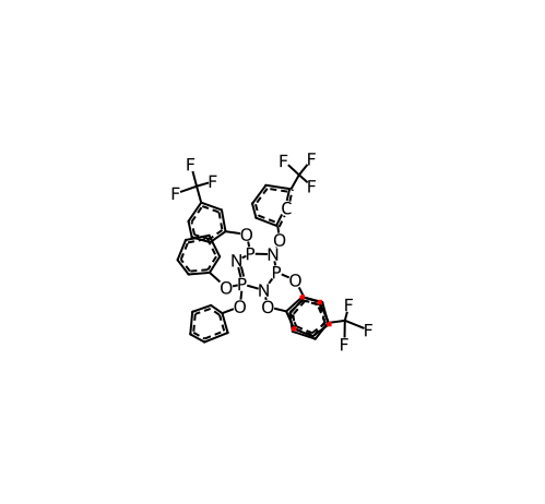 FC(F)(F)c1cccc(ON2P(Oc3cccc(C(F)(F)F)c3)N=P(Oc3ccccc3)(Oc3ccccc3)N(Oc3ccccc3)P2Oc2cccc(C(F)(F)F)c2)c1